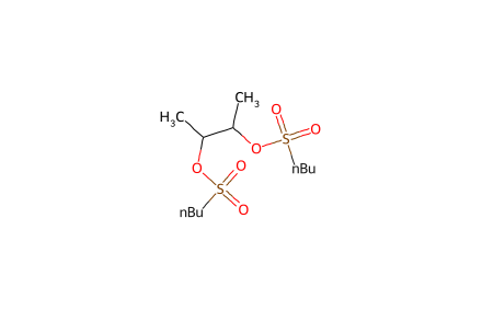 CCCCS(=O)(=O)OC(C)C(C)OS(=O)(=O)CCCC